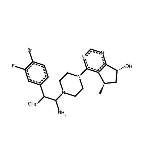 C[C@@H]1C[C@@H](O)c2ncnc(N3CCN(C(N)C(C=O)c4ccc(Br)c(F)c4)CC3)c21